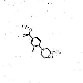 COC(=O)c1ccc(N2CCN[C@@H](C)C2)c(F)c1